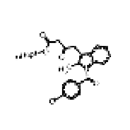 CCCCCCCOC(=O)CC(=O)Cc1c(C)n(C(=O)c2ccc(Cl)cc2)c2ccccc12